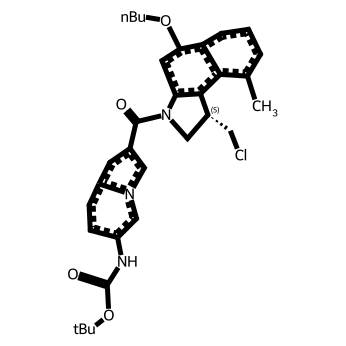 CCCCOc1cc2c(c3c(C)cccc13)[C@H](CCl)CN2C(=O)c1cc2ccc(NC(=O)OC(C)(C)C)cn2c1